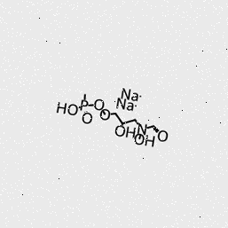 CP(=O)(O)OOCC(O)CN(O)C=O.[Na].[Na]